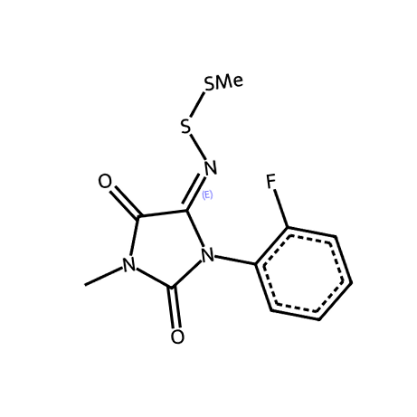 CSS/N=C1\C(=O)N(C)C(=O)N1c1ccccc1F